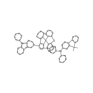 CC1(C)c2ccccc2-c2ccc(N(c3ccccc3)c3ccc(-c4ccc(-c5ccc6c(c5)c5ccccc5n6-c5ccccc5)c5c4C4(c6ccccc6Sc6ccccc64)c4ccccc4-5)cc3)cc21